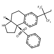 O=S(=O)(c1ccccc1)[C@@]12CCN[C@@H]1CCc1cc(C(F)(C(F)(F)F)C(F)(F)F)ccc12